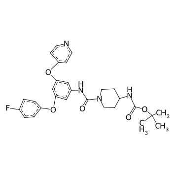 CC(C)(C)OC(=O)NC1CCN(C(=O)Nc2cc(Oc3ccncc3)cc(Oc3ccc(F)cc3)c2)CC1